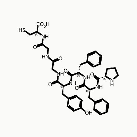 O=C(CNC(=O)[C@H](Cc1ccc(O)cc1)NC(=O)[C@H](Cc1ccccc1)NC(=O)[C@H](Cc1ccccc1)NC(=O)[C@@H]1CCCN1)NCC(=O)N[C@@H](CS)C(=O)O